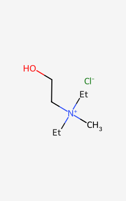 CC[N+](C)(CC)CCO.[Cl-]